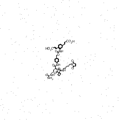 NC(=O)NCCC[C@H](NC(=O)C1(C(=O)NCCCCCN2C(=O)C=CC2=O)CCC1)C(=O)Nc1ccc(COC(=O)Nc2cc(/C=C/C(=O)O)ccc2/C=C/C(=O)O)cc1